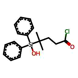 CC(C)(CCC(=O)Cl)[Si](O)(c1ccccc1)c1ccccc1